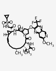 CC[C@@H]1C[C@H](C)CC/C=C\[C@@H]2C[C@@]2(C(=O)NS(=O)(=O)C2CC2)NC(=O)[C@@H]2C[C@@H](Oc3nc4cc(OC)ncc4nc3C(F)(F)F)CN2C(=O)[C@H]1NC(=O)O